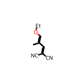 CCO/C=C(\C)C=C(C#N)C#N